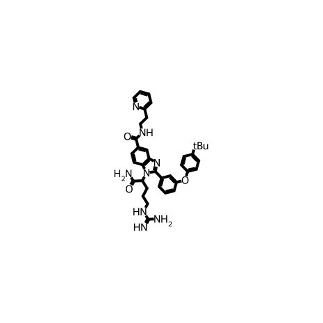 CC(C)(C)c1ccc(Oc2cccc(-c3nc4cc(C(=O)NCCc5ccccn5)ccc4n3C(CCCNC(=N)N)C(N)=O)c2)cc1